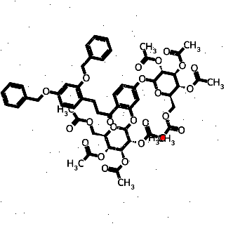 CC(=O)OC[C@H]1OC(Oc2ccc(C(=O)CCc3ccc(OCc4ccccc4)cc3OCc3ccccc3)c(OC3O[C@H](COC(C)=O)[C@@H](OC(C)=O)[C@H](OC(C)=O)[C@H]3OC(C)=O)c2)[C@H](OC(C)=O)[C@@H](OC(C)=O)[C@@H]1OC(C)=O